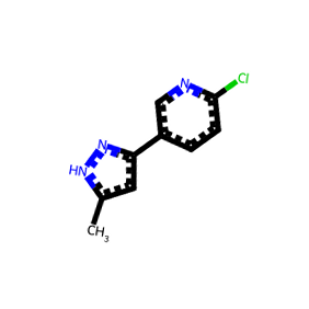 Cc1cc(-c2ccc(Cl)nc2)n[nH]1